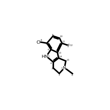 CN1CCc2[nH]c3c(Cl)ccc(F)c3c2C1